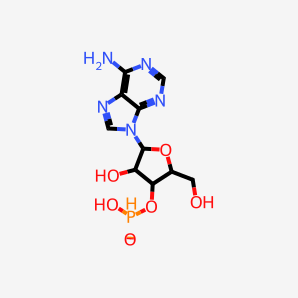 Nc1ncnc2c1ncn2C1OC(CO)C(O[PH](=O)O)C1O